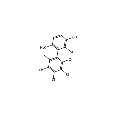 Cc1ccc(S)c(S)c1-c1c(Cl)c(Cl)c(Cl)c(Cl)c1Cl